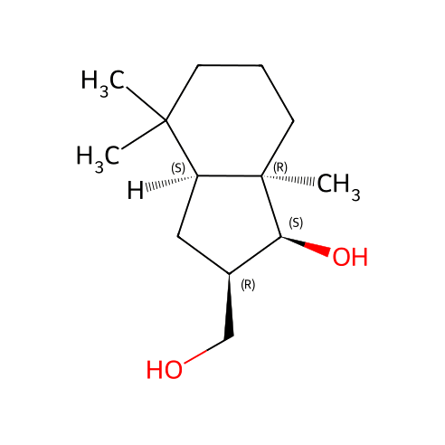 CC1(C)CCC[C@@]2(C)[C@@H](O)[C@@H](CO)C[C@@H]12